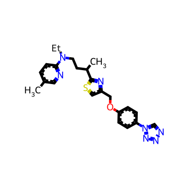 CCN(CCC(C)c1nc(COc2ccc(-n3cnnn3)cc2)cs1)c1ccc(C)cn1